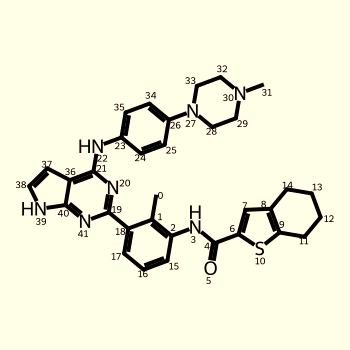 Cc1c(NC(=O)c2cc3c(s2)CCCC3)cccc1-c1nc(Nc2ccc(N3CCN(C)CC3)cc2)c2cc[nH]c2n1